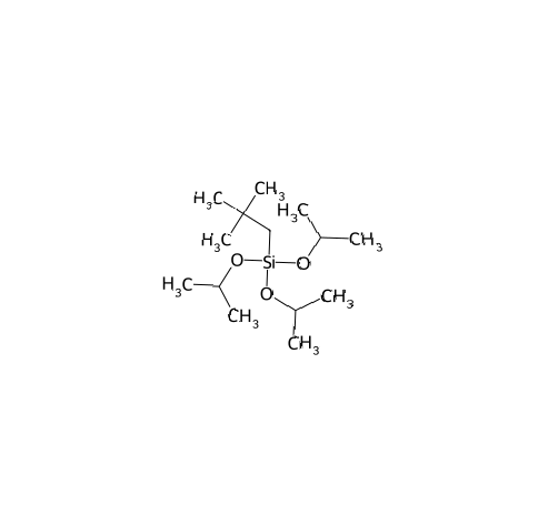 CC(C)O[Si](CC(C)(C)C)(OC(C)C)OC(C)C